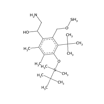 Cc1c(C)c(C(O)CN)c(CO[SiH3])c(C(C)(C)C)c1O[Si](C)(C)C(C)(C)C